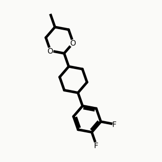 CC1COC(C2CCC(c3ccc(F)c(F)c3)CC2)OC1